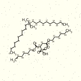 CCCCCCCCCC[N+](C)(C)CCCCCCCCCC.CCCCCCOC(=O)CC(C(=O)OCCCCCC)S(=O)(=O)O